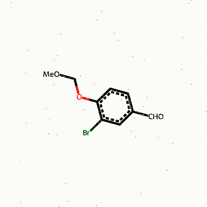 COCOc1ccc(C=O)cc1Br